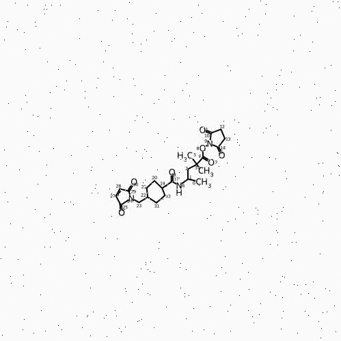 CC(CC(C)(C)C(=O)ON1C(=O)CCC1=O)NC(=O)C1CCC(CN2C(=O)C=CC2=O)CC1